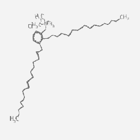 CCCCCCCCCCCCCCCCc1cccc(C[N+](C)(C)C)c1CCCCCCCCCCCCCCCC.[Cl-]